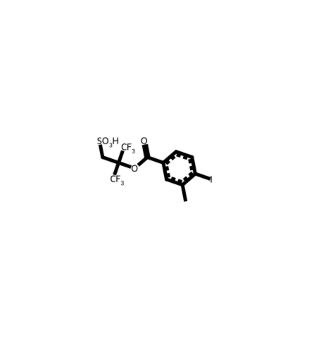 Cc1cc(C(=O)OC(CS(=O)(=O)O)(C(F)(F)F)C(F)(F)F)ccc1I